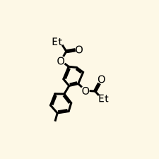 CCC(=O)Oc1ccc(OC(=O)CC)c(-c2ccc(C)cc2)c1